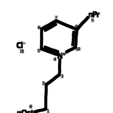 CCCCCCCCCCC[n+]1cccc(CCC)c1.[Cl-]